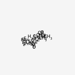 CCOC(=O)C(C)(C)Oc1c(C)cc(CN2C(=O)CN(c3ccc(C(F)(F)F)c(F)c3)C2=O)cc1C